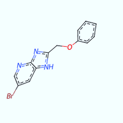 Brc1cnc2nc(COc3ccccc3)[nH]c2c1